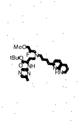 COCC(F)CN(CCCCc1ccc2c(n1)NCCC2)CCC(Nc1cncc(C)n1)C(=O)OC(C)(C)C